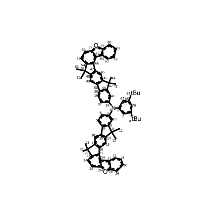 CC(C)(C)c1cc(N(c2ccc3c(c2)C(C)(C)c2cc4c(cc2-3)C(C)(C)c2ccc3oc5ccccc5c3c2-4)c2ccc3c(c2)C(C)(C)c2cc4c(cc2-3)C(C)(C)c2ccc3oc5ccccc5c3c2-4)cc(C(C)(C)C)c1